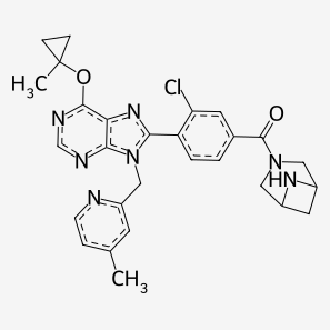 Cc1ccnc(Cn2c(-c3ccc(C(=O)N4CC5CC(C4)N5)cc3Cl)nc3c(OC4(C)CC4)ncnc32)c1